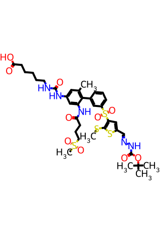 CSc1sc(C=NNC(=O)OC(C)(C)C)cc1S(=O)(=O)c1cccc(-c2c(C)cc(NC(=O)NCCCCCC(=O)O)cc2NC(=O)CCCS(C)(=O)=O)c1